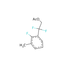 CC(=O)OCC(F)(F)c1cccc(C)c1F